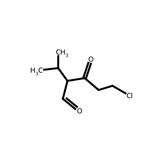 CC(C)C(C=O)C(=O)CCCl